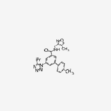 Cc1ccc(-c2cc(C(=O)NCc3nocc3C)cc(-n3nnnc3C(C)C)c2)cc1